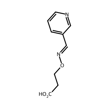 O=C(O)CCON=Cc1cccnc1